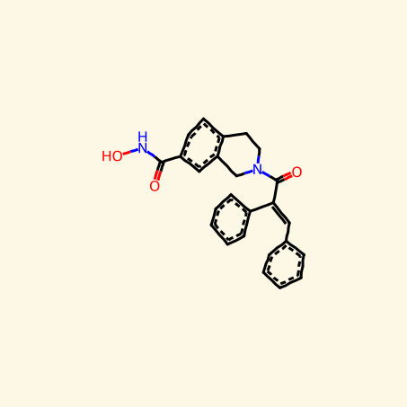 O=C(NO)c1ccc2c(c1)CN(C(=O)/C(=C/c1ccccc1)c1ccccc1)CC2